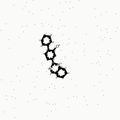 Clc1cc(-c2ncc3ccccc3n2)ccc1-c1ccccc1